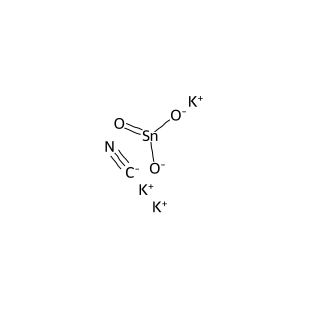 [C-]#N.[K+].[K+].[K+].[O]=[Sn]([O-])[O-]